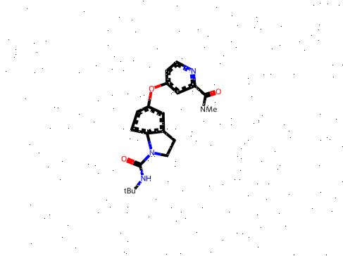 CNC(=O)c1cc(Oc2ccc3c(c2)CCN3C(=O)NC(C)(C)C)ccn1